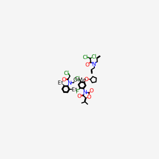 C=CCN(CC=C)C(=O)C(Cl)Cl.CC(C)=C1OC(=O)N(c2cc(OC3CCCC3)c(Cl)cc2F)C1=O.CCc1cccc(CC)c1N(COC)C(=O)CCl